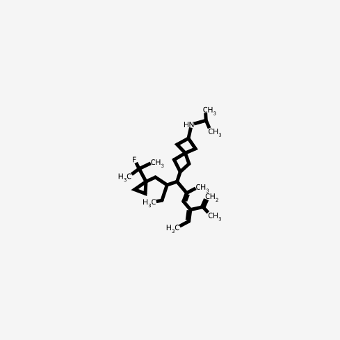 C=C(C)C(=C/C)/C=C(\C)C(C1CC2(CC(NC(C)C)C2)C1)C(CC)CC1(C(C)(C)F)CC1